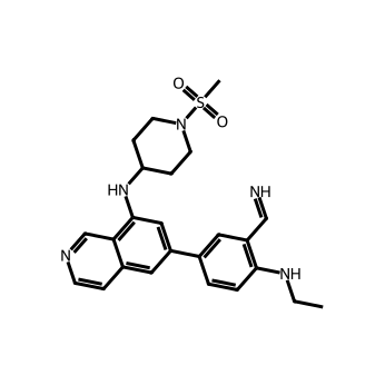 CCNc1ccc(-c2cc(NC3CCN(S(C)(=O)=O)CC3)c3cnccc3c2)cc1C=N